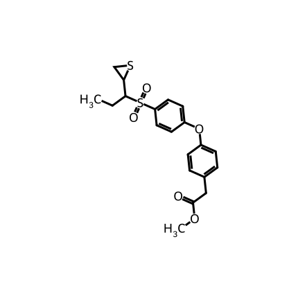 CCC(C1CS1)S(=O)(=O)c1ccc(Oc2ccc(CC(=O)OC)cc2)cc1